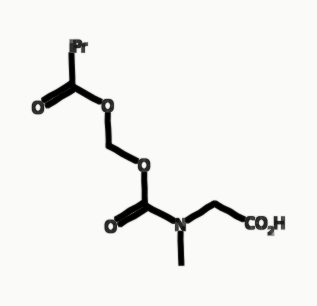 CC(C)C(=O)OCOC(=O)N(C)CC(=O)O